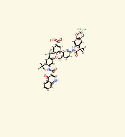 CC(C)(C)c1cc(C(C)(C)C)c(OCc2ccc(NC(=O)C3(c4ccc5c(c4)OC(F)(F)O5)CC3)nc2-c2cccc(C(=O)O)c2)cc1NC(=O)c1c[nH]c2ccccc2c1=O